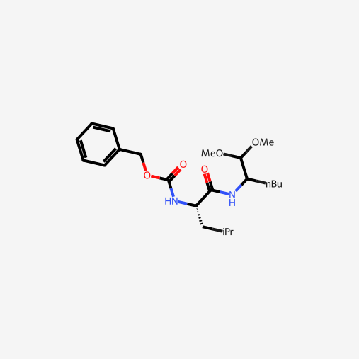 CCCCC(NC(=O)[C@H](CC(C)C)NC(=O)OCc1ccccc1)C(OC)OC